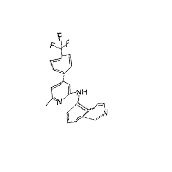 Cc1cc(-c2ccc(C(F)(F)F)cc2)cc(Nc2cccc3cnccc23)n1